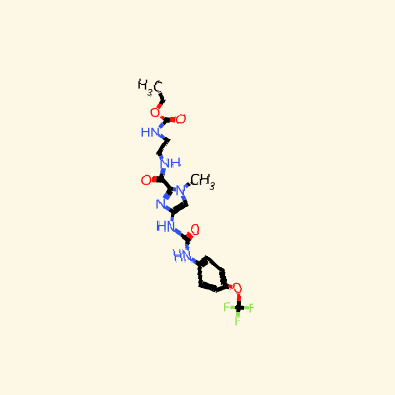 CCOC(=O)NCCNC(=O)c1nc(NC(=O)Nc2ccc(OC(F)(F)F)cc2)cn1C